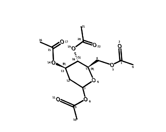 CC(=O)OC[C@H]1OC(OC(C)=O)C[C@@H](OC(C)=O)[C@@H]1OC(C)=O